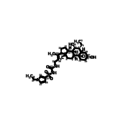 CC[C@H]1[C@@H](O)[C@@H]2[C@H](CC[C@]3(C)[C@@H]([C@H](C)CCNC(=O)NS(=O)(=O)c4ccn(CC)c4)CC[C@@H]23)[C@@]2(C)CC[C@@H](O)C[C@@H]12